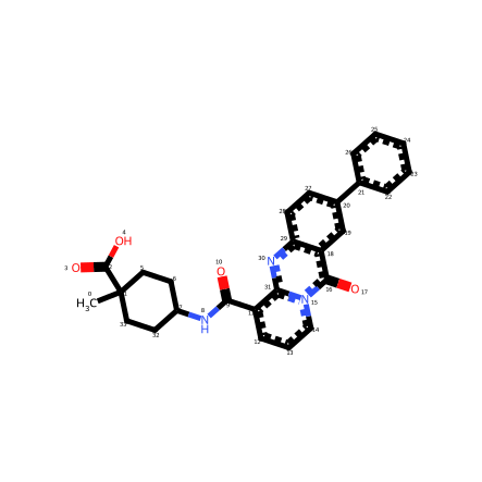 CC1(C(=O)O)CCC(NC(=O)c2cccn3c(=O)c4cc(-c5ccccc5)ccc4nc23)CC1